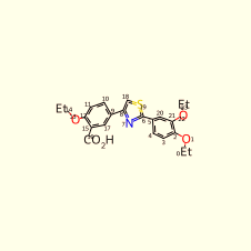 CCOc1ccc(-c2nc(-c3ccc(OCC)c(C(=O)O)c3)cs2)cc1OCC